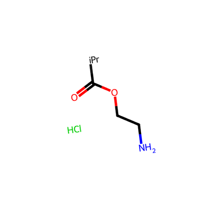 CC(C)C(=O)OCCN.Cl